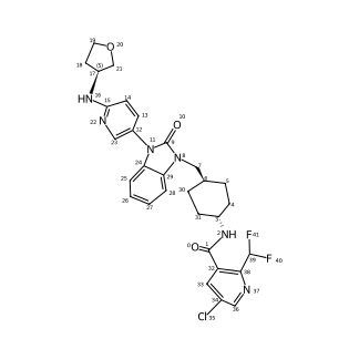 O=C(N[C@H]1CC[C@H](Cn2c(=O)n(-c3ccc(N[C@H]4CCOC4)nc3)c3ccccc32)CC1)c1cc(Cl)cnc1C(F)F